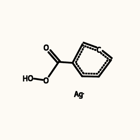 O=C(OO)c1ccccc1.[Ag]